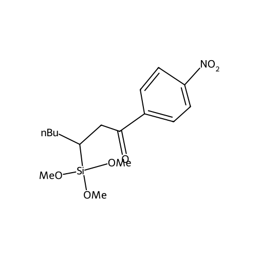 CCCCC(CC(=O)c1ccc([N+](=O)[O-])cc1)[Si](OC)(OC)OC